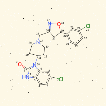 O=c1[nH]c2ccc(Cl)cc2n1C1CCN(CC2=NOC(c3cccc(Cl)c3)C2)CC1